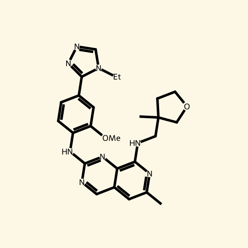 CCn1cnnc1-c1ccc(Nc2ncc3cc(C)nc(NCC4(C)CCOC4)c3n2)c(OC)c1